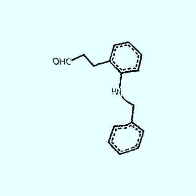 O=CCCc1ccccc1NCc1ccccc1